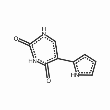 O=c1[nH]cc(-c2ccc[nH]2)c(=O)[nH]1